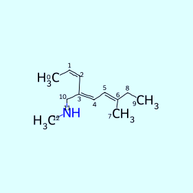 C\C=C/C(=C\C=C(/C)CC)CNC